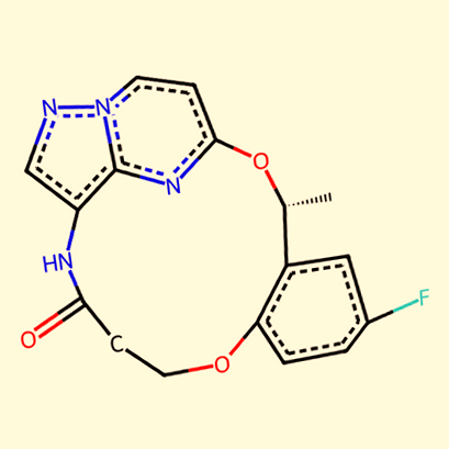 C[C@H]1Oc2ccn3ncc(c3n2)NC(=O)CCOc2ccc(F)cc21